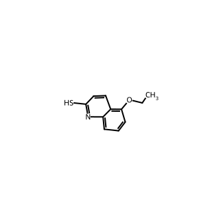 CCOc1cccc2nc(S)ccc12